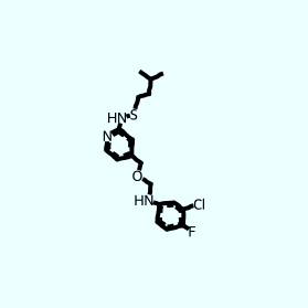 CC(C)CCSNc1cc(COCNc2ccc(F)c(Cl)c2)ccn1